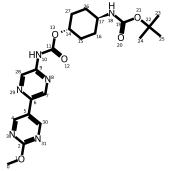 COc1ncc(-c2cnc(NC(=O)O[C@H]3CC[C@H](NC(=O)OC(C)(C)C)CC3)cn2)cn1